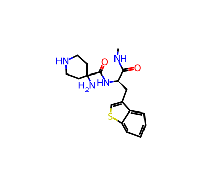 CNC(=O)[C@@H](Cc1csc2ccccc12)NC(=O)C1(N)CCNCC1